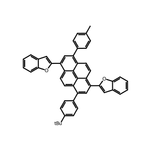 Cc1ccc(-c2cc(-c3cc4ccccc4o3)c3ccc4c(-c5ccc(C(C)(C)C)cc5)cc(-c5cc6ccccc6o5)c5ccc2c3c45)cc1